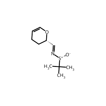 CC(C)(C)[S@@+]([O-])/N=C/[C@@H]1CCC=CO1